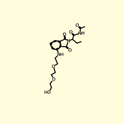 CCC(C(=O)NC(C)=O)N1C(=O)c2cccc(NCCOCCOCCO)c2C1=O